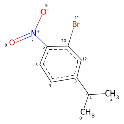 C[C](C)c1ccc([N+](=O)[O-])c(Br)c1